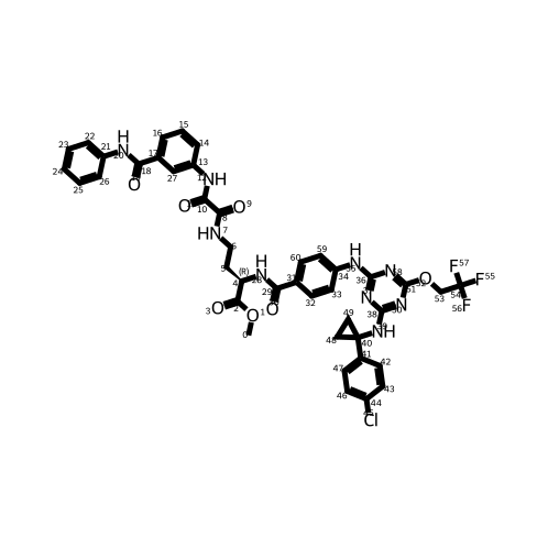 COC(=O)[C@@H](CCNC(=O)C(=O)Nc1cccc(C(=O)Nc2ccccc2)c1)NC(=O)c1ccc(Nc2nc(NC3(c4ccc(Cl)cc4)CC3)nc(OCC(F)(F)F)n2)cc1